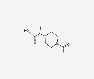 CC(=O)N1CCC(C(C)C(=O)O)CC1